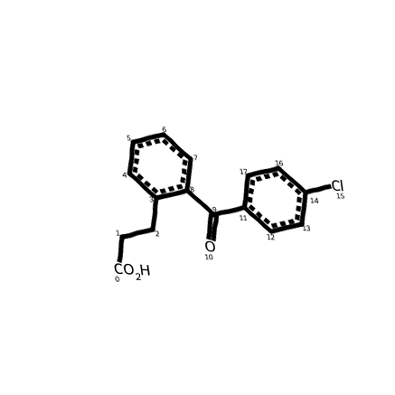 O=C(O)CCc1ccccc1C(=O)c1ccc(Cl)cc1